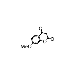 COc1ccc2c(c1)OC(=O)CC2=O